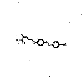 CC(=CCCOc1ccc(N=Nc2ccc(C#N)cc2)cc1)C(=O)O